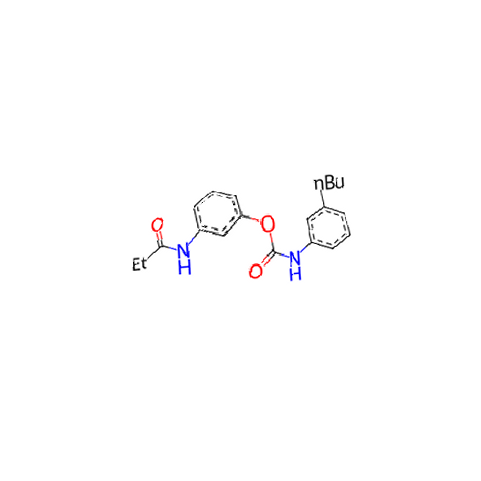 CCCCc1cccc(NC(=O)Oc2cccc(NC(=O)CC)c2)c1